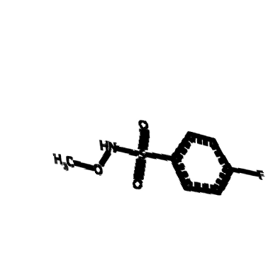 CONS(=O)(=O)c1ccc(F)cc1